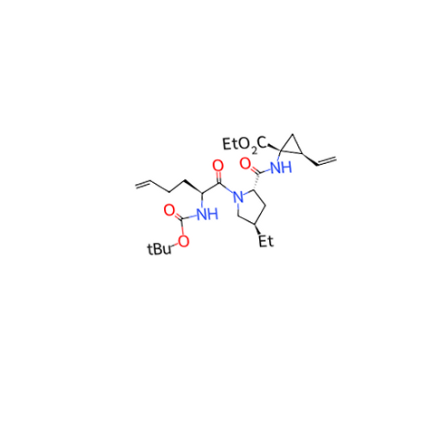 C=CCC[C@H](NC(=O)OC(C)(C)C)C(=O)N1C[C@H](CC)C[C@H]1C(=O)N[C@]1(C(=O)OCC)C[C@H]1C=C